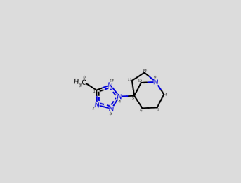 Cc1nnn(C23CCCN(CC2)C3)n1